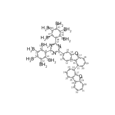 Bc1c(B)c(B)c(-c2nc(-c3ccc4c(c3)oc3cccc(-c5cccc6c5oc5ccccc56)c34)nc(-c3c(B)c(B)c(B)c(B)c3B)n2)c(B)c1B